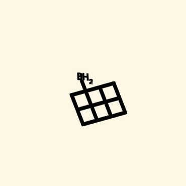 BC12CC3CC4C5CC6CC1C65C342